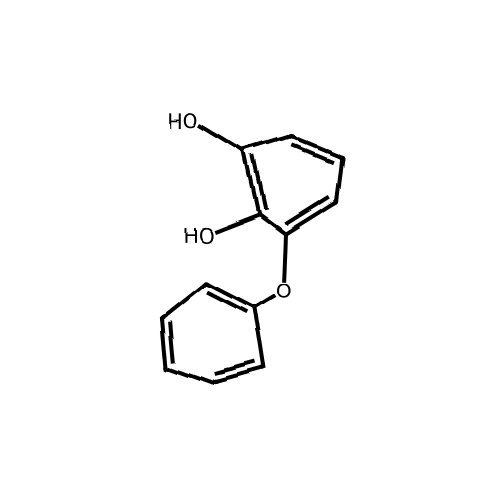 Oc1cccc(Oc2ccccc2)c1O